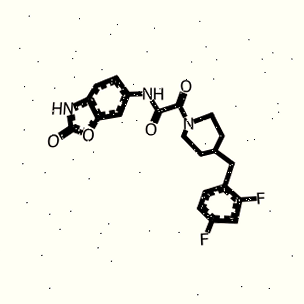 O=C(Nc1ccc2[nH]c(=O)oc2c1)C(=O)N1CCC(Cc2ccc(F)cc2F)CC1